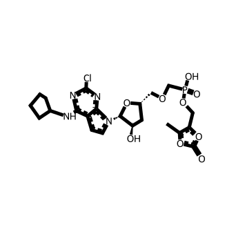 Cc1oc(=O)oc1COP(=O)(O)COC[C@@H]1C[C@@H](O)[C@H](n2ccc3c(NC4CCCC4)nc(Cl)nc32)O1